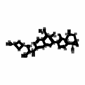 Cc1c(-c2cc3cc(NC(O)O[C@H]4C[C@@H](O)C4)ncc3c(N)c2F)cnc2c1NCC1C[C@@H]21